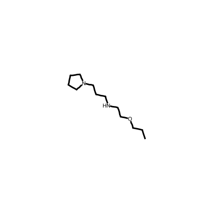 CCCOCCNCCCN1CCCC1